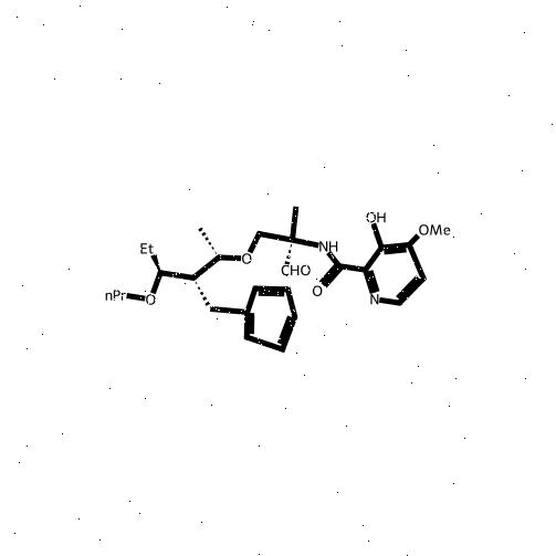 CCCO[C@@H](CC)[C@@H](Cc1ccccc1)[C@H](C)OC[C@](C)(C=O)NC(=O)c1nccc(OC)c1O